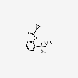 CCC(C)(C)c1ccccc1OC(=O)C1CC1